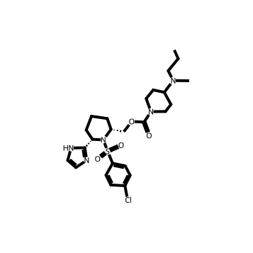 CCCN(C)C1CCN(C(=O)OC[C@H]2CCC[C@@H](c3ncc[nH]3)N2S(=O)(=O)c2ccc(Cl)cc2)CC1